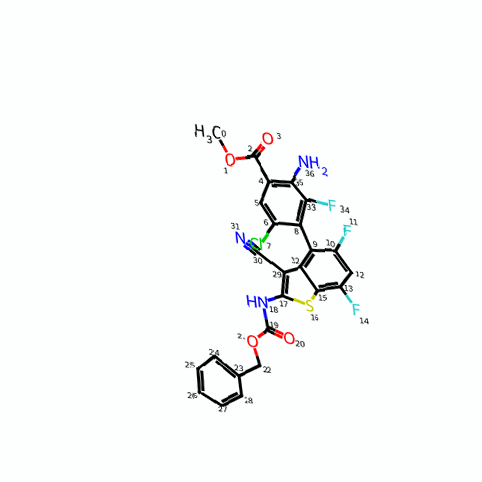 COC(=O)c1cc(Cl)c(-c2c(F)cc(F)c3sc(NC(=O)OCc4ccccc4)c(C#N)c23)c(F)c1N